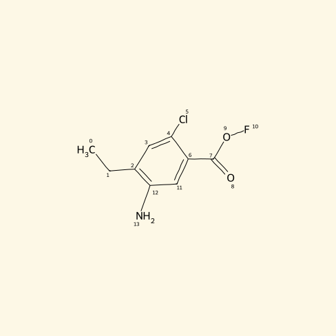 CCc1cc(Cl)c(C(=O)OF)cc1N